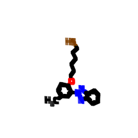 Cc1ccc(OCCCCCCS)c(-n2nc3ccccc3n2)c1